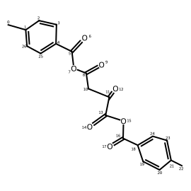 Cc1ccc(C(=O)OC(=O)CC(=O)C(=O)OC(=O)c2ccc(C)cc2)cc1